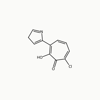 O=c1c(Cl)cccc(C2=CCC=N2)c1O